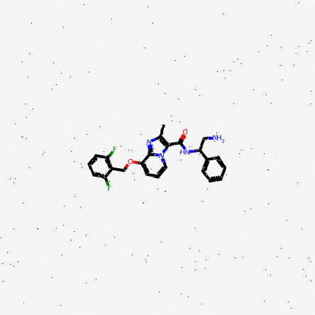 Cc1nc2c(OCc3c(F)cccc3F)cccn2c1C(=O)NC(CN)c1ccccc1